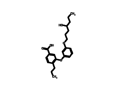 CCCc1ccc(C(=O)O)cc1Oc1cccc(OCCCC(O)CCC)c1